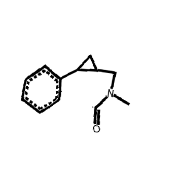 CN([C]=O)CC1CC1c1ccccc1